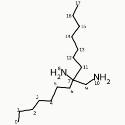 CCCCCCCC(N)(CN)CCCCCCC